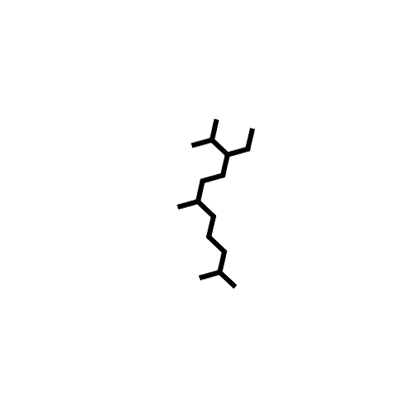 CCC(CCC(C)CCCC(C)C)C(C)C